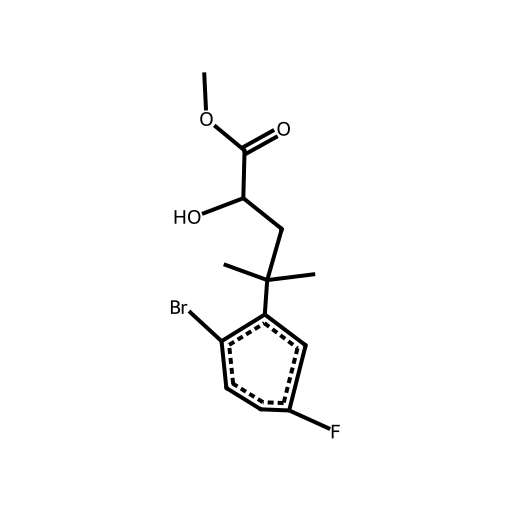 COC(=O)C(O)CC(C)(C)c1cc(F)ccc1Br